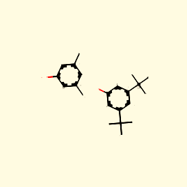 CC(C)(C)c1cc(O)cc(C(C)(C)C)c1.Cc1cc(C)cc(O)c1